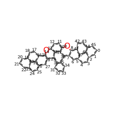 c1cc2ccc3cc4c(oc5ccc6oc7c8ccc9cccc%10ccc(cc7c7c%11ccccc%11c4c5c67)c8c%109)c4ccc(c1)c2c34